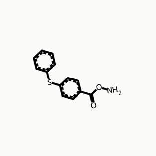 NOC(=O)c1ccc(Sc2ccccc2)cc1